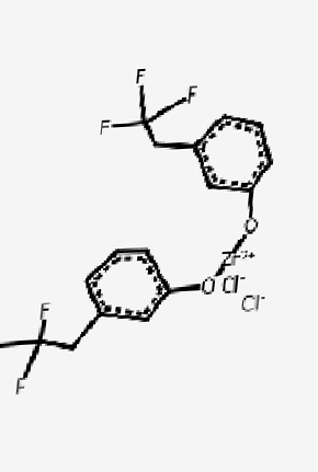 FC(F)(F)Cc1cccc([O][Zr+2][O]c2cccc(CC(F)(F)F)c2)c1.[Cl-].[Cl-]